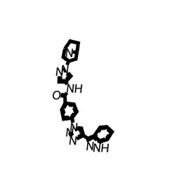 CN1C2CCC1CC(n1cc(NC(=O)c3ccc(-n4cc(-c5n[nH]c6ccccc56)nn4)cc3)cn1)C2